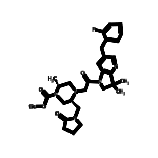 C[C@@H]1CN(CC(=O)N2CC(C)(C)c3ncc(Cc4ccccc4F)cc32)[C@@H](CN2CCCC2=O)CN1C(=O)OC(C)(C)C